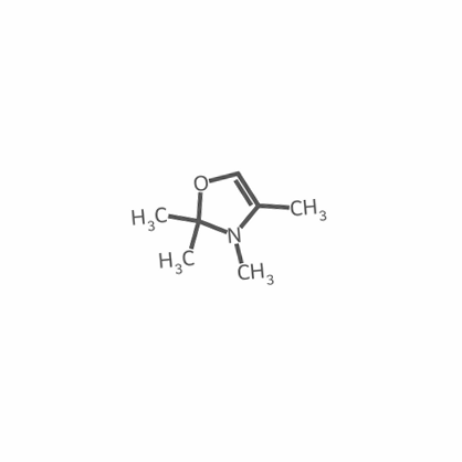 CC1=COC(C)(C)N1C